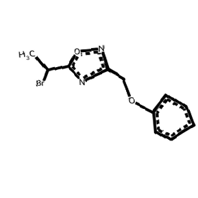 CC(Br)c1nc(COc2ccccc2)no1